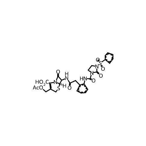 CC(=O)OCC1=C(C(=O)O)N2C(=O)C(NC(=O)Cc3ccccc3NC(=O)N3CCN(S(=O)(=O)c4ccccc4)C3=O)[C@H]2SC1